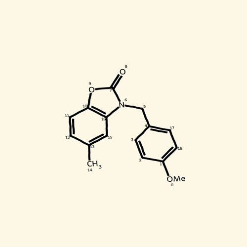 COc1ccc(Cn2c(=O)oc3ccc(C)cc32)cc1